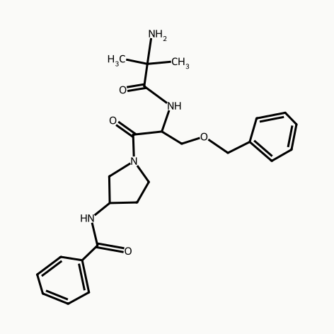 CC(C)(N)C(=O)NC(COCc1ccccc1)C(=O)N1CCC(NC(=O)c2ccccc2)C1